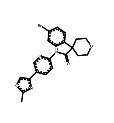 Cc1nc(-c2ccc(NC(=O)C3(c4ccc(Br)cc4)CCOCC3)nc2)cs1